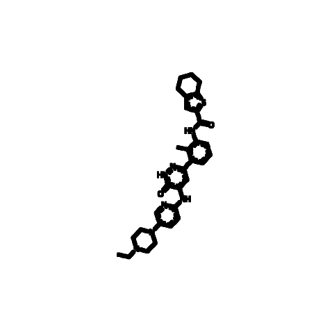 CCN1CCN(c2ccc(Nc3cc(-c4cccc(NC(=O)c5cc6c(s5)CCCC6)c4C)n[nH]c3=O)nc2)CC1